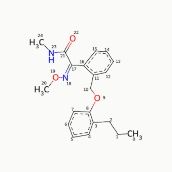 CCCc1ccccc1OCc1ccccc1C(=NOC)C(=O)NC